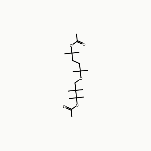 CC(=O)OC(C)(C)CCC(C)(C)OCC(C)(C)C(C)(C)OC(C)=O